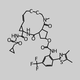 Cc1nc(-c2ccc(C(F)(F)F)cc2NC(=O)OC2CC3C(=O)NC4(C(=O)NS(=O)(=O)C5CC5)CC4/C=C/CCCCN(C)C(=O)C3C2)sc1C